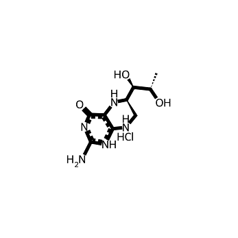 C[C@H](O)[C@H](O)[C@H]1CNc2[nH]c(N)nc(=O)c2N1.Cl